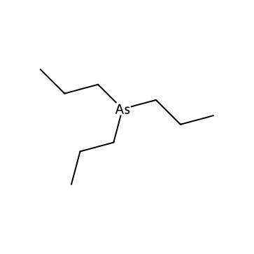 CCC[As](CCC)CCC